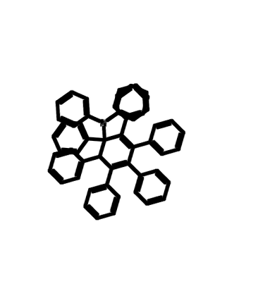 c1ccc(C2=C(c3ccccc3)C(c3ccccc3)C(c3ccccc3)(N(c3ccccc3)c3ccccc3)C(c3ccccc3)=C2c2ccccc2)cc1